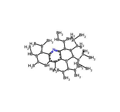 BBB(B)B1B(B(B)B(B)B)B(B(BB)B(B)B)B(B(B(B)B)B(B)B)c2c1nc1c(c2C)BB(B)B(BB)B1B(B)B